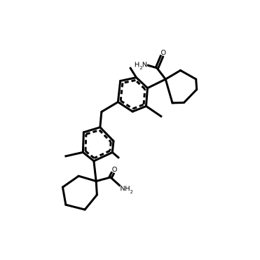 Cc1cc(Cc2cc(C)c(C3(C(N)=O)CCCCC3)c(C)c2)cc(C)c1C1(C(N)=O)CCCCC1